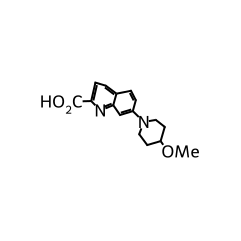 COC1CCN(c2ccc3ccc(C(=O)O)nc3c2)CC1